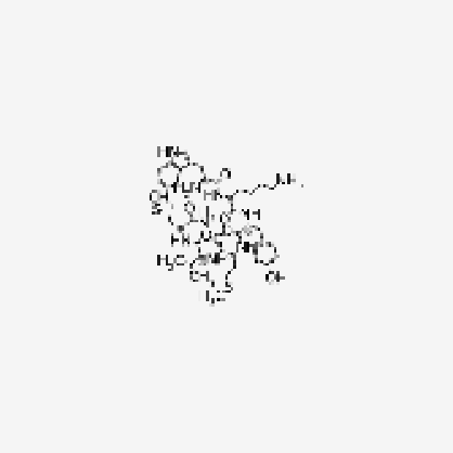 CSCC[C@H](NC(=O)[C@@H](NC(=O)[C@H](CCSC)NC(=O)[C@H](Cc1ccc(O)cc1)NC(=O)[C@H](CCCCN)NC(=O)[C@@H](N)Cc1c[nH]c2ccccc12)C(C)C)C(N)=O